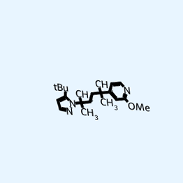 COc1cc(C(C)(C)CCC(C)(C)n2nccc2C(C)(C)C)ccn1